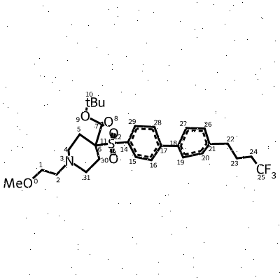 COCCN1CCC(C(=O)OC(C)(C)C)(S(=O)(=O)c2ccc(-c3ccc(CCCC(F)(F)F)cc3)cc2)CC1